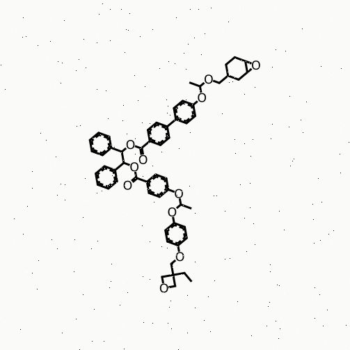 CCC1(COc2ccc(OC(C)Oc3ccc(C(=O)OC(c4ccccc4)C(OC(=O)c4ccc(-c5ccc(OC(C)OCC6CCC7OC7C6)cc5)cc4)c4ccccc4)cc3)cc2)COC1